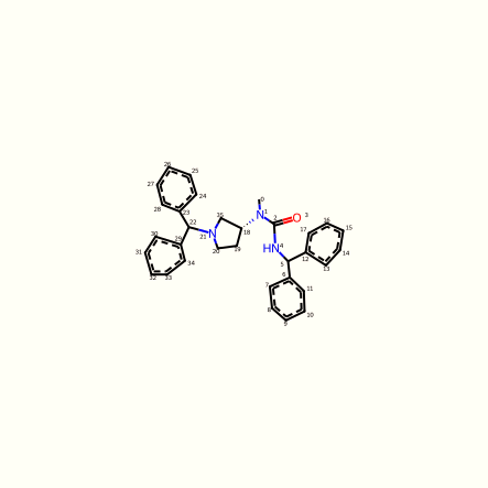 CN(C(=O)NC(c1ccccc1)c1ccccc1)[C@@H]1CCN(C(c2ccccc2)c2ccccc2)C1